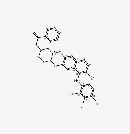 C=C(CN1CCC(Oc2cc3c(Nc4ccc(Cl)c(Cl)c4F)c(C#N)cnc3cc2OC)CC1)c1ccccc1